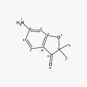 CC1(C)Oc2cc(N)ccc2C1=O